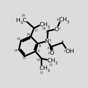 COCN(C(=O)CO)c1c(C(C)C)cccc1C(C)C